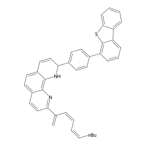 C=C(/C=C\C=C/CCCC)c1ccc2ccc3c(c2n1)NC(c1ccc(-c2cccc4c2sc2ccccc24)cc1)C=C3